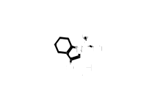 CC(C)[S+]([O-])n1cc(C(=O)O)c2c1CCCC2